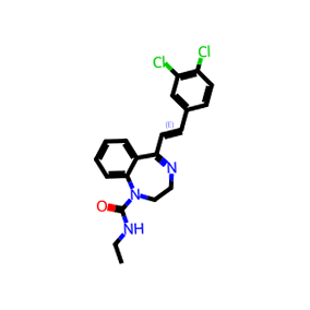 CCNC(=O)N1CCN=C(/C=C/c2ccc(Cl)c(Cl)c2)c2ccccc21